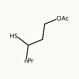 CCCC(S)CCOC(C)=O